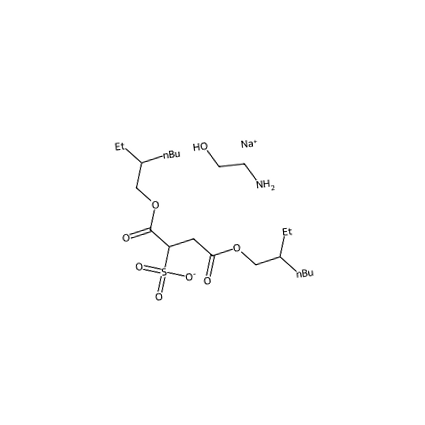 CCCCC(CC)COC(=O)CC(C(=O)OCC(CC)CCCC)S(=O)(=O)[O-].NCCO.[Na+]